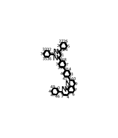 C1=C(c2ccc3ccc4ccc(-c5ccc(-c6ccc(-c7cc(-c8ccccc8)nc(-c8ccccc8)n7)cc6)cc5)nc4c3n2)CCCC1